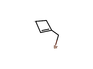 BrCC1=C[CH]C1